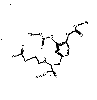 CCCCOC(=O)Oc1ccc(C[C@H](NCCOC(=O)CCCC)C(=O)OC)cc1OC(=O)OCCCC